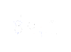 CCOC(=O)[C@H](CCSC)NS(=O)(=O)c1ccc(Cn2c(C)nc3cnccc32)cc1